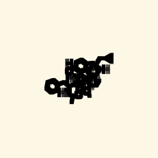 CO[C@]12CC[C@@]3(C[C@@H]1CNC(=O)C(Cc1ccccc1)NC(C)=O)[C@H]1Cc4ccc(O)c5c4[C@@]3(CCN1CC1CC1)[C@H]2O5